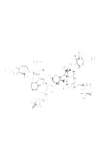 CSc1cc(C)[nH]c(=O)c1CNC(=O)c1c(Cc2ccc3c(c2)c(C(=O)NCc2c(SC)cc(C)[nH]c2=O)c(C(F)F)n3[C@H](C)C2CC(NC3CC(F)(F)C3)C2)n([C@H](C)C2CC(OC3CC(F)(F)C3)C2)c2ccccc12